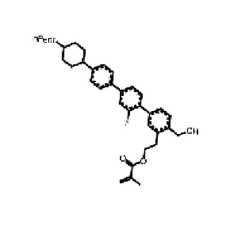 C=C(C)C(=O)OCCc1cc(-c2ccc(-c3ccc(C4CCC(CCCCC)CC4)cc3)cc2F)ccc1CO